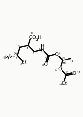 CCC[C@@H](CC)CC(CNC(=O)O[C@@H](C)OC(=O)CC)C(=O)O